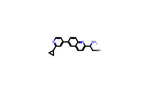 CC(C)CC(N)c1ccc2cc(-c3ccnc(C4CC4)c3)ccc2n1